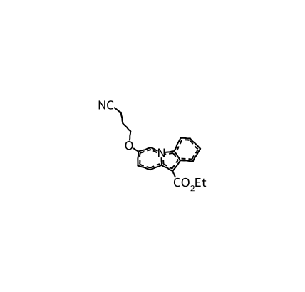 CCOC(=O)c1c2ccccc2n2cc(OCCCC#N)ccc12